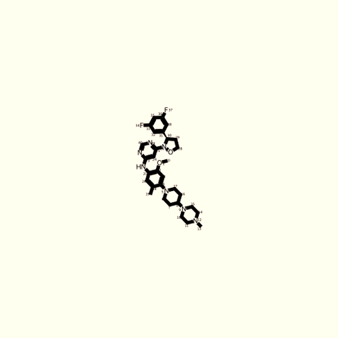 COc1cc(N2CCC(N3CCN(C)CC3)CC2)c(C)cc1Nc1cc(N2OCC[C@@H]2c2cc(F)cc(F)c2)ncn1